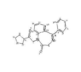 O=C(CN1C(=O)CN=C(c2ccccc2)c2ccccc21)C1CCCC1